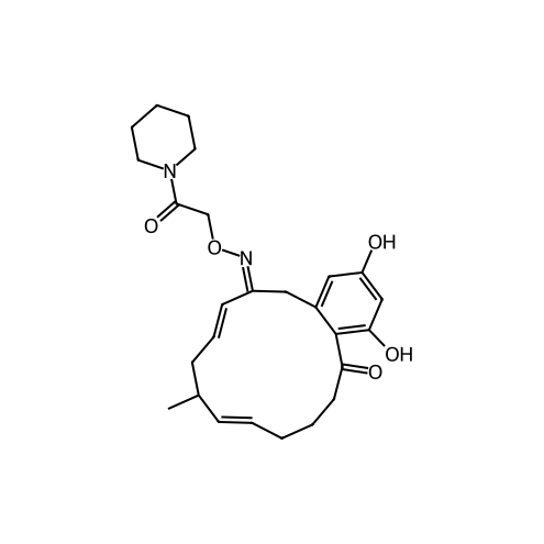 CC1/C=C/CCCC(=O)c2c(O)cc(O)cc2CC(=N/OCC(=O)N2CCCCC2)/C=C/C1